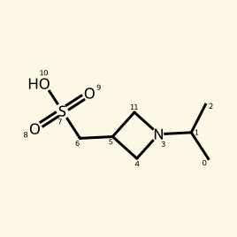 CC(C)N1CC(CS(=O)(=O)O)C1